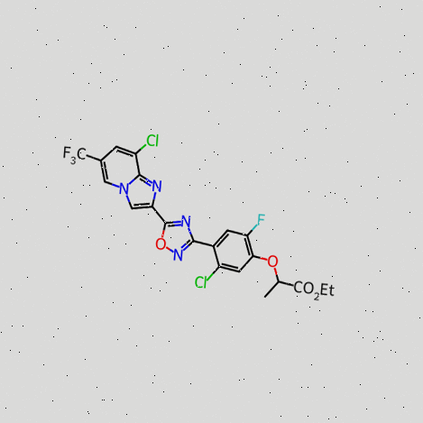 CCOC(=O)C(C)Oc1cc(Cl)c(-c2noc(-c3cn4cc(C(F)(F)F)cc(Cl)c4n3)n2)cc1F